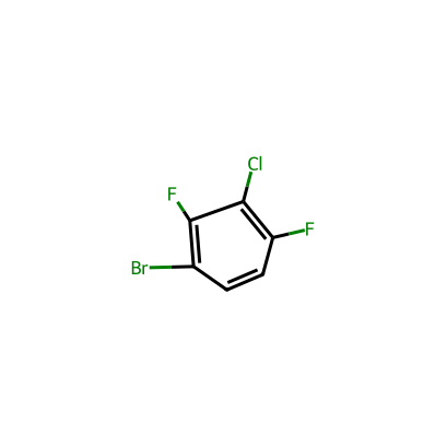 Fc1ccc(Br)c(F)c1Cl